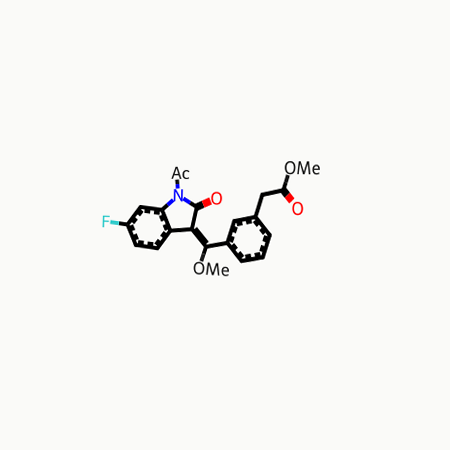 COC(=O)Cc1cccc(/C(OC)=C2\C(=O)N(C(C)=O)c3cc(F)ccc32)c1